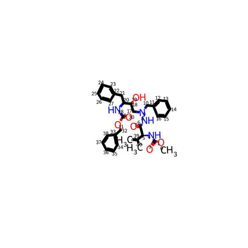 COC(=O)N[C@H](C(=O)NN(Cc1ccccc1)CC(O)C(Cc1ccccc1)NC(=O)OCc1ccccc1)C(C)C